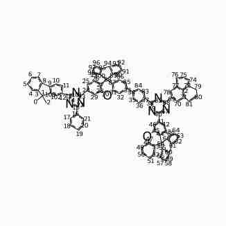 CC1(C)c2ccccc2-c2ccc(-c3nc(-c4ccccc4)nc(-c4ccc5c(c4)Oc4cc(-c6ccc(-c7nc(-c8ccc9c(c8)Oc8ccccc8C98c9ccccc9-c9ccccc98)nc(-c8cc9c%10c(cccc%10c8)CC=C9)n7)cc6)ccc4C54c5ccccc5-c5ccccc54)n3)cc21